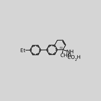 CCc1ccc(-c2ccc3c(c2)CC=C[C@]3(C=O)NC(=O)O)cc1